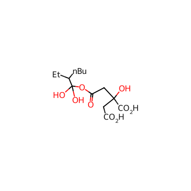 CCCCC(CC)C(O)(O)OC(=O)CC(O)(CC(=O)O)C(=O)O